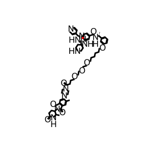 Cc1cc2c(cc1N1CCN(C(=O)CCCOCCOCCOCCCCCCOc3cccc([C@@H](C)NC(=O)c4cccc(NC5(c6nnc(-c7ccncc7)[nH]6)CCNCC5)c4)c3)CC1)C(=O)N(C1CCC(=O)NC1C)C2=O